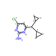 Nc1nc(Cl)cc(C(C2CC2)C2CC2)n1